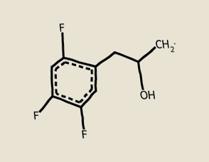 [CH2]C(O)Cc1cc(F)c(F)cc1F